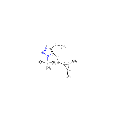 CCc1nnn(C(C)(C)C)c1CCC1C(C)[C@H]1C